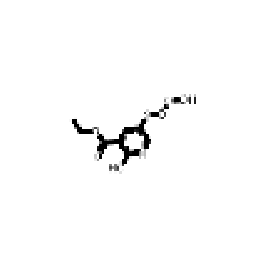 CCOC(=O)c1cc(SOOO)cnc1O